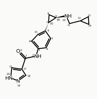 O=C(Nc1ccc([C@@H]2C[C@H]2NCC2CC2)cc1)c1cn[nH]c1